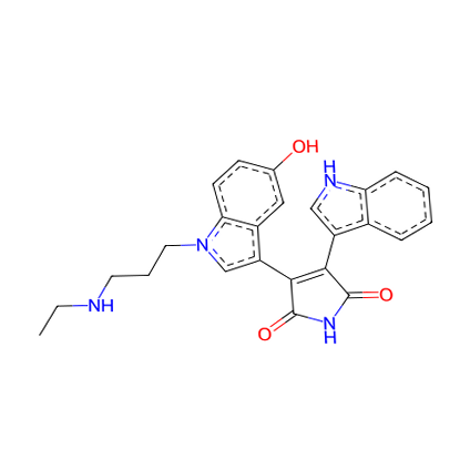 CCNCCCn1cc(C2=C(c3c[nH]c4ccccc34)C(=O)NC2=O)c2cc(O)ccc21